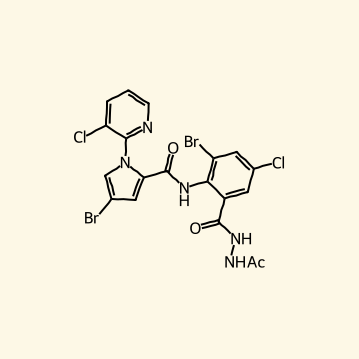 CC(=O)NNC(=O)c1cc(Cl)cc(Br)c1NC(=O)c1cc(Br)cn1-c1ncccc1Cl